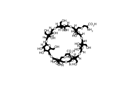 N[C@H](CSCC1O[C@H]2O[C@@H]3C(CO)O[C@H](O[C@@H]4C(CO)O[C@H](O[C@@H]5C(CO)O[C@H](O[C@@H]6C(CSC[C@@H](N)C(=O)O)O[C@H](O[C@@H]7C(CO)O[C@@H](O[C@@H]8C(CO)O[C@@H](O[C@H]1C(O)[C@@H]2O)C(O)[C@H]8O)[C@@H](O)C7O)C(O)[C@H]6O)C(O)[C@H]5O)[C@@H](O)C4O)[C@@H](O)C3O)C(=O)O